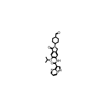 CC(C)Oc1cc2c(cc1NC(=O)c1cnn3cccnc13)CN(C1CCC(C=O)CC1)C2=O